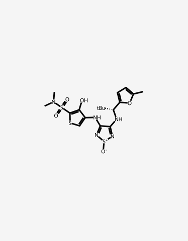 Cc1ccc([C@H](Nc2n[s+]([O-])nc2Nc2csc(S(=O)(=O)N(C)C)c2O)C(C)(C)C)o1